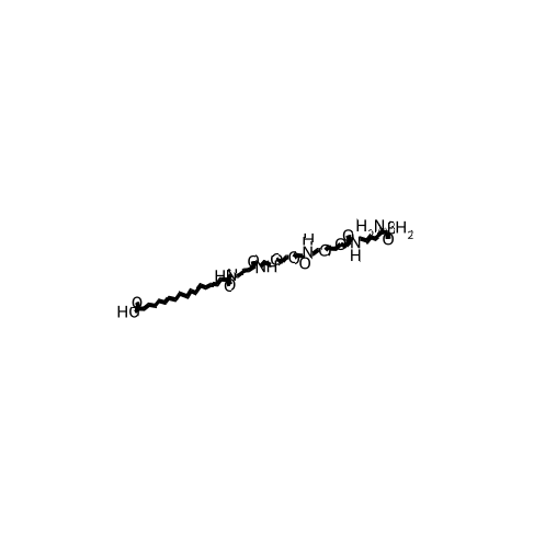 BC(=O)[C@@H](N)CCCCNC(=O)COCCOCCNC(=O)COCCOCCNC(=O)CCCNC(=O)CCCCCCCCCCCCCCCCC(=O)O